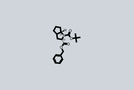 CC(C)(C)OC(=O)N1[C@H](C(=O)OCc2ccccc2)CC2CCC[C@@H]21